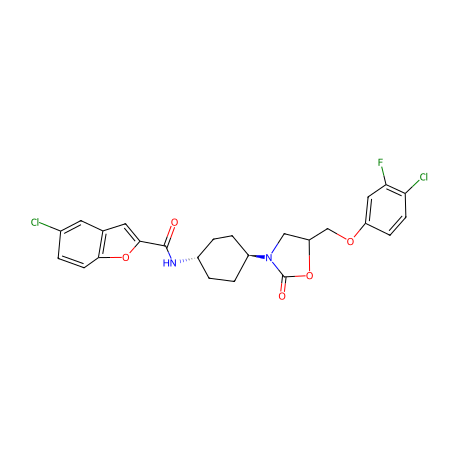 O=C(N[C@H]1CC[C@H](N2CC(COc3ccc(Cl)c(F)c3)OC2=O)CC1)c1cc2cc(Cl)ccc2o1